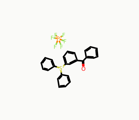 F[P-](F)(F)(F)(F)F.O=C(c1ccccc1)c1cccc([S+](c2ccccc2)c2ccccc2)c1